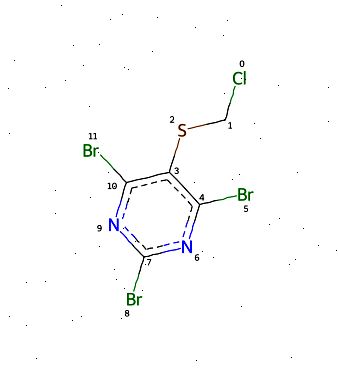 ClCSc1c(Br)nc(Br)nc1Br